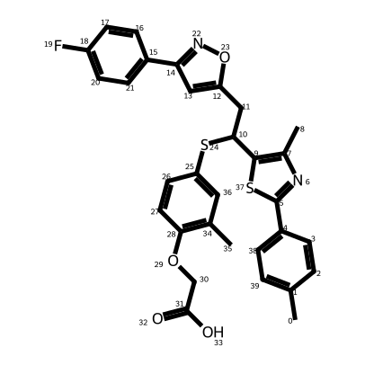 Cc1ccc(-c2nc(C)c(C(Cc3cc(-c4ccc(F)cc4)no3)Sc3ccc(OCC(=O)O)c(C)c3)s2)cc1